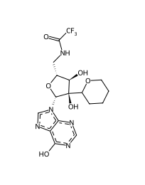 O=C(NC[C@H]1O[C@@H](n2cnc3c(O)ncnc32)[C@@](O)(C2CCCCO2)[C@@H]1O)C(F)(F)F